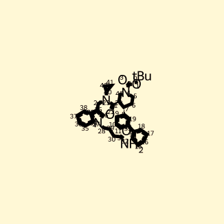 CC(C)(C)OC(=O)N1CC[C@H](c2cccc(-c3ccccc3)c2)[C@@H](C(=O)N(Cc2cn(CCCC(N)=O)c3ccccc23)C2CC2)C1